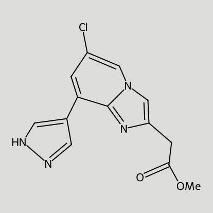 COC(=O)Cc1cn2cc(Cl)cc(-c3cn[nH]c3)c2n1